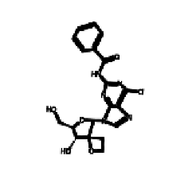 O=C(Nc1nc(Cl)c2ncn(C3O[C@H](CO)[C@@H](O)[C@]34CCO4)c2n1)c1ccccc1